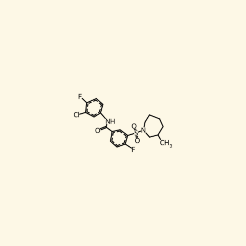 CC1CCCCN(S(=O)(=O)c2cc(C(=O)Nc3ccc(F)c(Cl)c3)ccc2F)C1